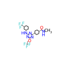 CNC(=O)c1ccc(-c2nc(Nc3cccc(C(F)(F)F)c3)nc(OCC(F)(F)F)n2)cc1